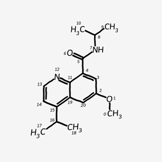 COc1cc(C(=O)NC(C)C)c2nccc(C(C)C)c2c1